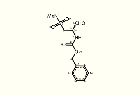 CNS(=O)(=O)C[C@@H](C=O)NC(=O)OCc1ccccc1